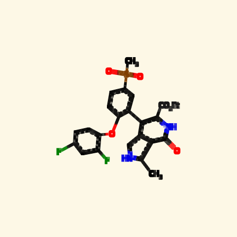 CCOC(=O)c1[nH]c(=O)c2c(C)[nH]cc2c1-c1cc(S(C)(=O)=O)ccc1Oc1ccc(F)cc1F